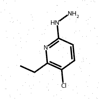 CCc1nc(NN)ccc1Cl